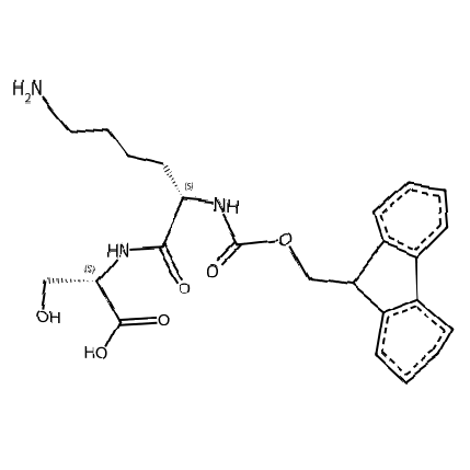 NCCCC[C@H](NC(=O)OCC1c2ccccc2-c2ccccc21)C(=O)N[C@@H](CO)C(=O)O